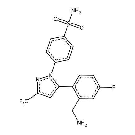 NCc1cc(F)ccc1-c1cc(C(F)(F)F)nn1-c1ccc(S(N)(=O)=O)cc1